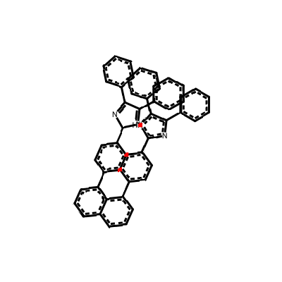 c1ccc(C2=NC(c3ccc(-c4cccc5cccc(-c6ccc(-c7nc(-c8ccccc8)c(-c8ccccc8)[nH]7)cc6)c45)cc3)N=C2c2ccccc2)cc1